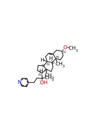 CO[C@H]1CC[C@@]2(C)C(=CC[C@H]3[C@@H]4CC[C@H](C(C)(O)CCc5ccncc5)[C@@]4(C)CC[C@@H]32)C1